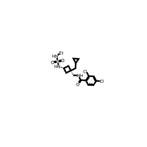 CCNS(=O)(=O)N[C@H]1C[C@](CNC(=O)c2ccc(Cl)cc2Cl)(CC2CC2)C1